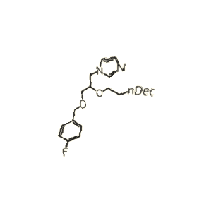 CCCCCCCCCCCCOC(COCc1ccc(F)cc1)Cn1ccnc1